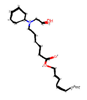 CCCCC/C=C\CCCOC(=O)CCCCCN(CCO)C1CCCCC1